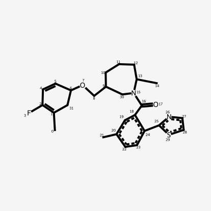 CC1=C(F)C=CC(OCC2CCCC(C)N(C(=O)c3cc(C)ccc3-c3nccs3)C2)C1